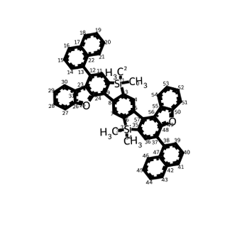 C[Si]1(C)c2cc3c(cc2-c2c1cc(-c1cccc4ccccc14)c1c2oc2ccccc21)[Si](C)(C)c1cc(-c2cccc4ccccc24)c2oc4ccccc4c2c1-3